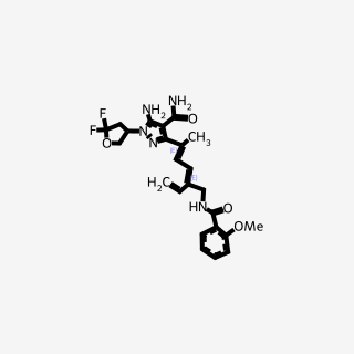 C=C/C(=C\C=C(/C)c1nn(C2COC(F)(F)C2)c(N)c1C(N)=O)CNC(=O)c1ccccc1OC